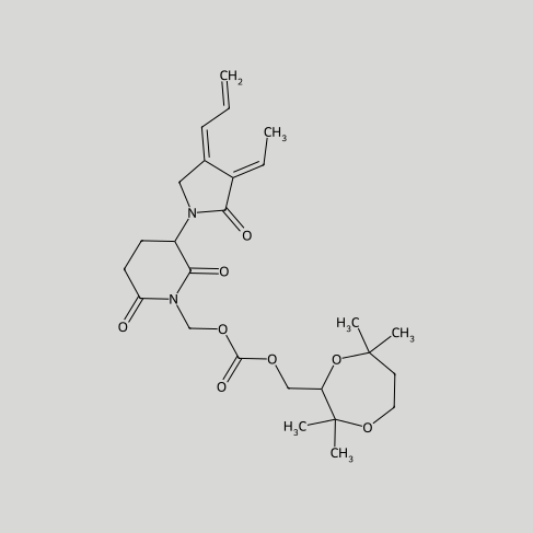 C=C/C=C1/CN(C2CCC(=O)N(COC(=O)OCC3OC(C)(C)CCOC3(C)C)C2=O)C(=O)/C1=C/C